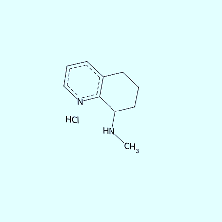 CNC1CCCc2cccnc21.Cl